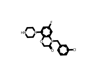 O=C1COc2c(N3CCNCC3)cc(F)cc2N1Cc1cccc(Cl)c1